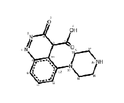 O=C(O)C1C(=O)N=Nc2cccc(N3CCNCC3)c21